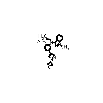 CC(=O)N1c2ccc(-c3cnn(C4COC4)c3)cc2N(c2nn(C)c3ccccc23)CC1C